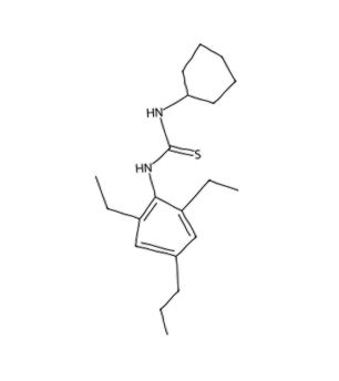 CCCc1cc(CC)c(NC(=S)NC2CCCCC2)c(CC)c1